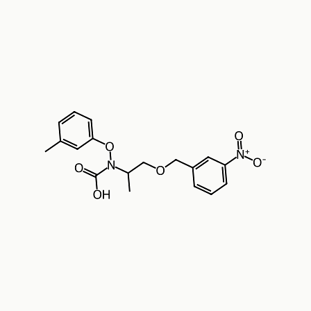 Cc1cccc(ON(C(=O)O)C(C)COCc2cccc([N+](=O)[O-])c2)c1